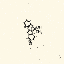 CC(C)(O)n1c(-c2ccccc2)cc2cc(Cl)ccc21